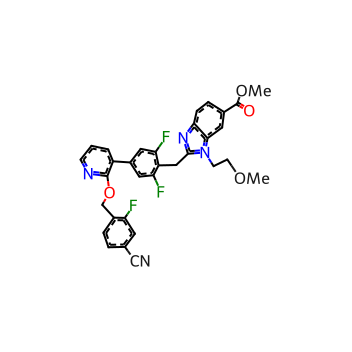 COCCn1c(Cc2c(F)cc(-c3cccnc3OCc3ccc(C#N)cc3F)cc2F)nc2ccc(C(=O)OC)cc21